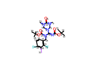 CN1CN(/C(=N\C(=O)OC(C)(C)C)N(Cc2ccc(F)c(I)c2F)C(=O)OC(C)(C)C)CN(C)C1=O